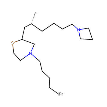 CC(C)CCCCN1CCSC(C[C@H](C)CCCCN2CCC2)C1